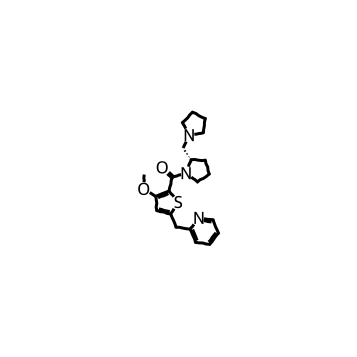 COc1cc(Cc2ccccn2)sc1C(=O)N1CCC[C@H]1CN1CCCC1